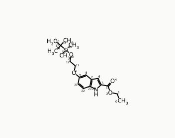 CCOC(=O)c1cc2cc(OCCO[Si](C)(C)C(C)(C)C)ccc2[nH]1